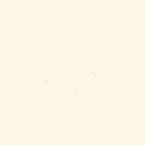 CN(CO)C1NC1(NCC=O)C(N)=O